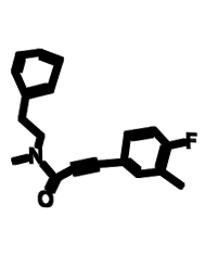 Cc1cc(C#CC(=O)N(C)CCc2ccccc2)ccc1F